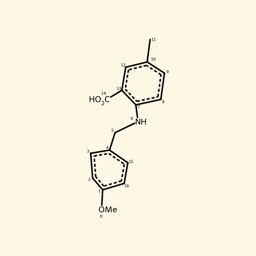 COc1ccc(CNc2ccc(C)cc2C(=O)O)cc1